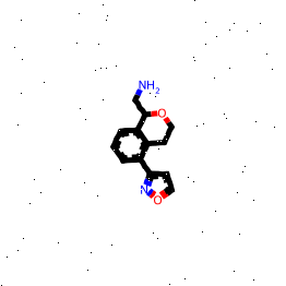 NCC1OCCc2c(-c3ccon3)cccc21